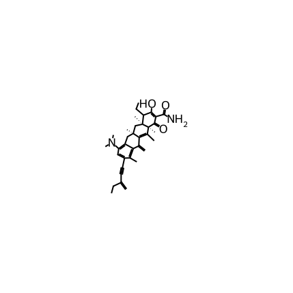 C=C(C#Cc1cc(N(C)C)c2c(c1C)C(=C)C1=C(C)[C@]3(C)C(=O)C(C(N)=O)=C(O)C(CC)[C@]3(C)C[C@]1(C)C2)CC